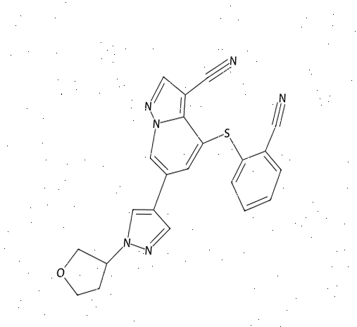 N#Cc1ccccc1Sc1cc(-c2cnn(C3CCOC3)c2)cn2ncc(C#N)c12